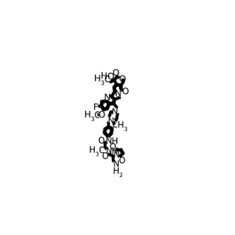 CC[C@@]1(O)C(=O)OCc2c1cc1n(c2=O)Cc2c-1nc1cc(F)c(OC)cc1c2CN1CC[N+](C)(Cc2ccc(NC(=O)C(C)NC(=O)C(CN)N3C(=O)C=CC3=O)cc2)CC1